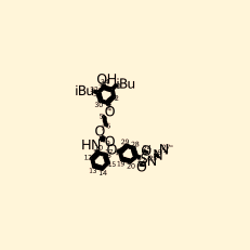 CCC(C)c1cc(OCCOC(=O)Nc2ccccc2Oc2ccc(S(=O)(=O)N=[N+]=[N-])cc2)cc(C(C)CC)c1O